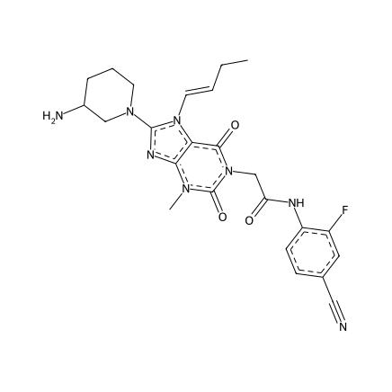 CC/C=C/n1c(N2CCCC(N)C2)nc2c1c(=O)n(CC(=O)Nc1ccc(C#N)cc1F)c(=O)n2C